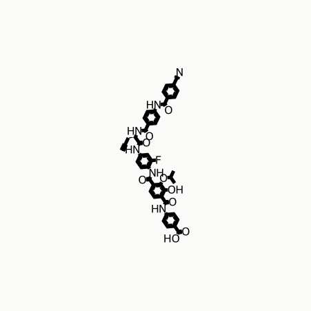 C#CC[C@H](NC(=O)c1ccc(NC(=O)c2ccc(C#N)cc2)cc1)C(=O)Nc1ccc(NC(=O)c2ccc(C(=O)Nc3ccc(C(=O)O)cc3)c(O)c2OC(C)C)c(F)c1